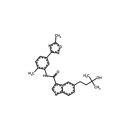 Cc1nc(-c2ccc(C)c(NC(=O)c3cnc4ccc(CCC(C)(C)O)cn34)c2)no1